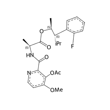 COc1ccnc(C(=O)N[C@@H](C)C(=O)O[C@@H](C)[C@H](c2ccccc2F)C(C)C)c1OC(C)=O